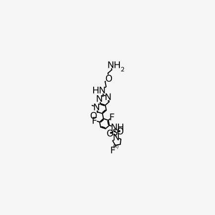 Cn1c(=O)c(-c2c(F)ccc(NS(=O)(=O)N3CC[C@@H](F)C3)c2F)cc2cnc(NCCOCCN)nc21